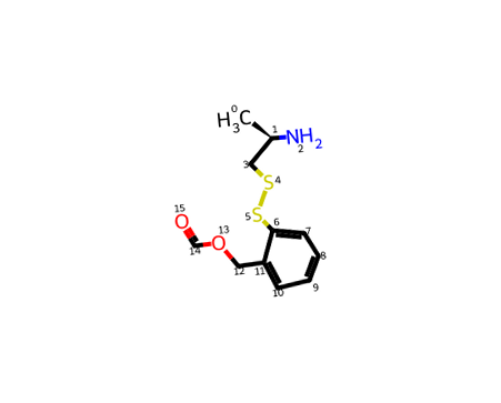 C[C@@H](N)CSSc1ccccc1COC=O